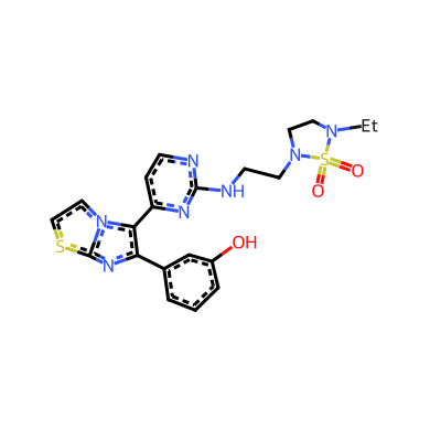 CCN1CCN(CCNc2nccc(-c3c(-c4cccc(O)c4)nc4sccn34)n2)S1(=O)=O